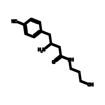 N#Cc1ccc(CC(N)CC(=O)NCCCO)cc1